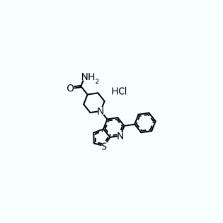 Cl.NC(=O)C1CCN(c2cc(-c3ccccc3)nc3sccc23)CC1